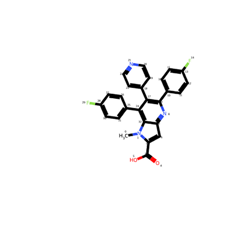 Cn1c(C(=O)O)cc2nc(-c3ccc(F)cc3)c(-c3ccncc3)c(-c3ccc(F)cc3)c21